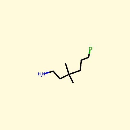 CC(C)(CCN)CCCCl